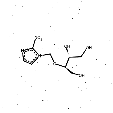 O=[N+]([O-])c1nccn1CO[C@H](CO)[C@H](O)CO